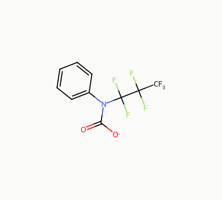 [O]C(=O)N(c1ccccc1)C(F)(F)C(F)(F)C(F)(F)F